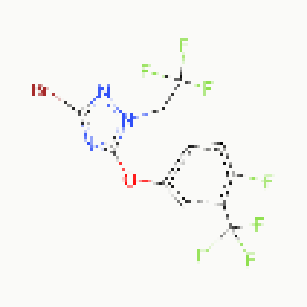 Fc1ccc(Oc2nc(Br)nn2CC(F)(F)F)cc1C(F)(F)F